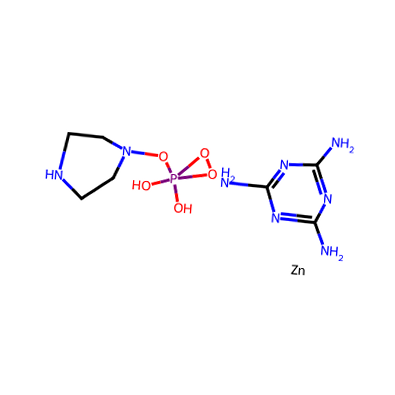 Nc1nc(N)nc(N)n1.OP1(O)(ON2CCNCC2)OO1.[Zn]